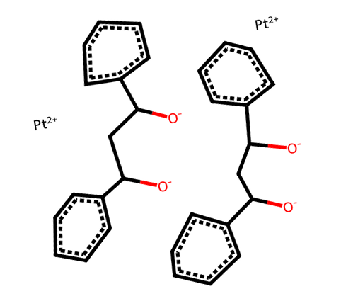 [O-]C(CC([O-])c1ccccc1)c1ccccc1.[O-]C(CC([O-])c1ccccc1)c1ccccc1.[Pt+2].[Pt+2]